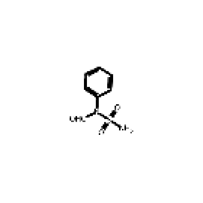 NS(=O)(=O)N(C=O)c1ccccc1